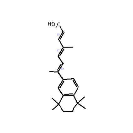 CC(/C=C/C(=O)O)=C\C=C(/C)c1ccc2c(c1)C(C)(C)CCC2(C)C